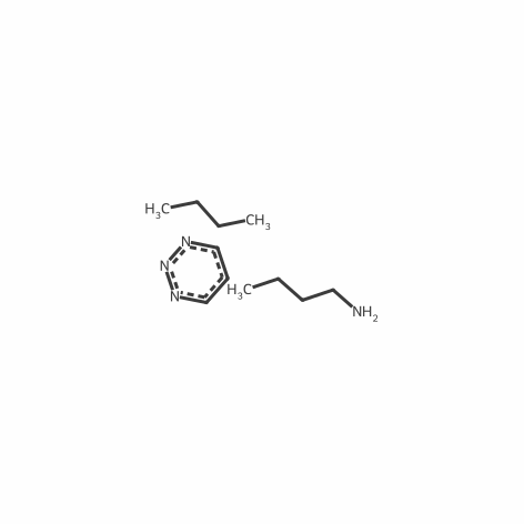 CCCC.CCCCN.c1cnnnc1